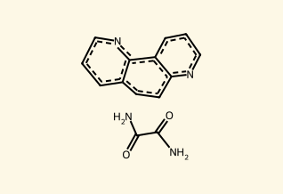 NC(=O)C(N)=O.c1cnc2c(c1)ccc1ncccc12